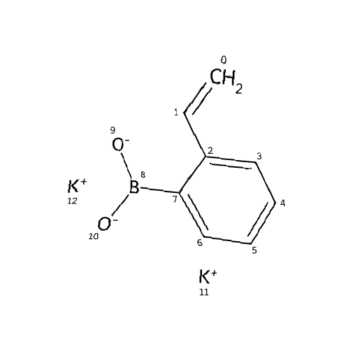 C=Cc1ccccc1B([O-])[O-].[K+].[K+]